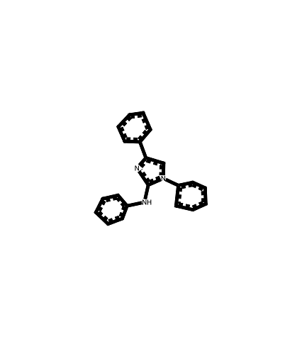 c1ccc(Nc2nc(-c3ccccc3)cn2-c2ccccc2)cc1